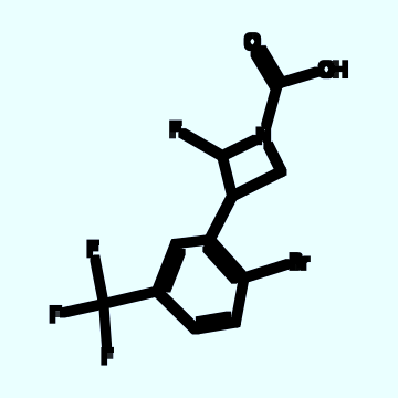 O=C(O)N1CC(c2cc(C(F)(F)F)ccc2Br)C1F